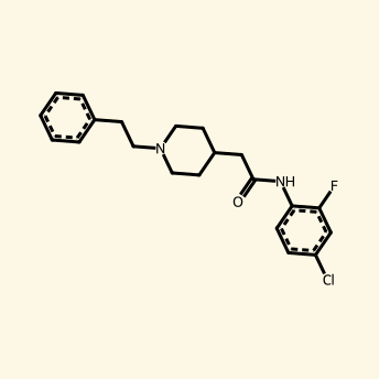 O=C(CC1CCN(CCc2ccccc2)CC1)Nc1ccc(Cl)cc1F